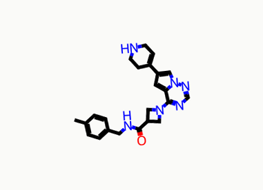 Cc1ccc(CNC(=O)C2CN(c3ncnn4cc(C5=CCNCC5)cc34)C2)cc1